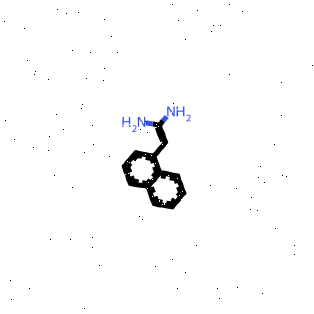 NC(N)=Cc1cccc2ccccc12